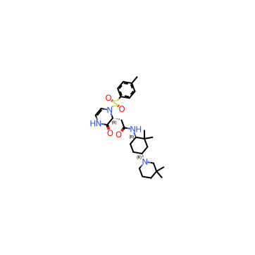 Cc1ccc(S(=O)(=O)N2C=CNC(=O)[C@H]2CC(=O)N[C@@H]2CC[C@@H](N3CCCC(C)(C)C3)CC2(C)C)cc1